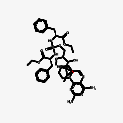 CCOC(=O)[C@H](Cc1ccccc1)NP(=O)(N[C@@H](Cc1ccccc1)C(=O)OCC)OCC(OC)C(O)C1(O)C(C)C1/C=N\c1c(N)nc(N)nc1N1CCOCC1